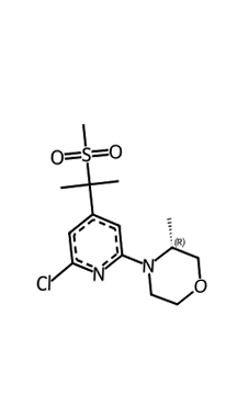 C[C@@H]1COCCN1c1cc(C(C)(C)S(C)(=O)=O)cc(Cl)n1